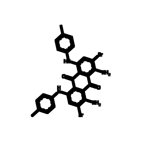 Cc1ccc(Nc2cc(Br)c(N)c3c2C(=O)c2c(Nc4ccc(C)cc4)cc(Br)c(N)c2C3=O)cc1